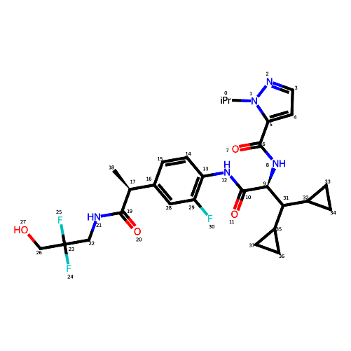 CC(C)n1nccc1C(=O)N[C@H](C(=O)Nc1ccc([C@H](C)C(=O)NCC(F)(F)CO)cc1F)C(C1CC1)C1CC1